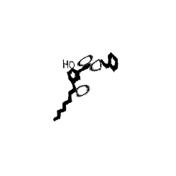 CCCCCCCC(=O)c1ccc(O)c(C(=O)OCCc2ccccc2)c1